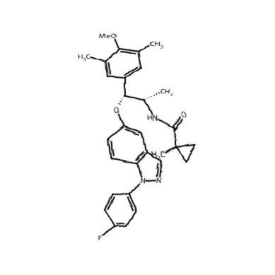 COc1c(C)cc([C@@H](Oc2ccc3c(cnn3-c3ccc(F)cc3)c2)[C@H](C)NC(=O)C2(C)CC2)cc1C